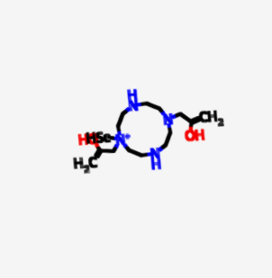 C=C(O)CN1CCNCC[N+]([SeH])(CC(=C)O)CCNCC1